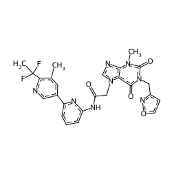 Cc1cc(-c2cccc(NC(=O)Cn3cnc4c3c(=O)n(Cc3ccon3)c(=O)n4C)n2)cnc1C(C)(F)F